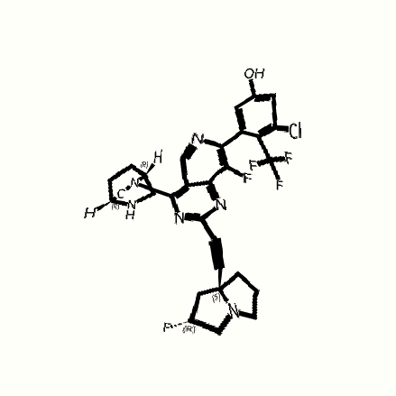 Oc1cc(Cl)c(C(F)(F)F)c(-c2ncc3c(N4C[C@H]5CC[C@@H]4CN5)nc(C#C[C@@]45CCCN4C[C@H](F)C5)nc3c2F)c1